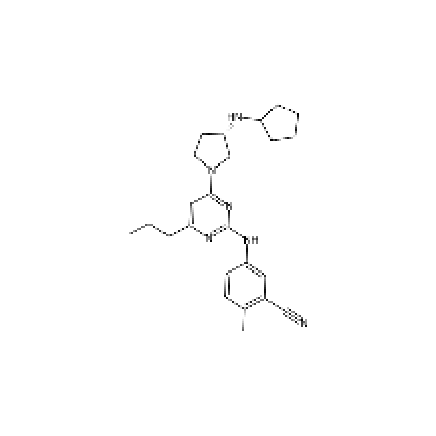 CCCc1cc(N2CC[C@H](NC3CCCC3)C2)nc(Nc2ccc(C)c(C#N)c2)n1